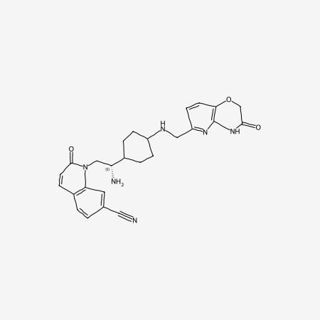 N#Cc1ccc2ccc(=O)n(C[C@@H](N)C3CCC(NCc4ccc5c(n4)NC(=O)CO5)CC3)c2c1